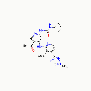 CCC(=O)c1cnc(NC(=O)NC2CCC2)cc1Nc1nccc(-c2ncn(C)n2)c1OC